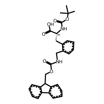 CC(C)(C)OC(=O)N[C@H](Cc1ccccc1CNC(=O)OCC1c2ccccc2-c2ccccc21)C(=O)O